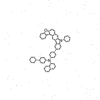 c1ccc(-c2ccc(N(c3ccc(-c4ccc5c(c4)c4cc6c(ccc7oc8ccccc8c76)cc4n5-c4ccccc4)cc3)c3cccc4ccccc34)cc2)cc1